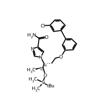 C[C@H](O[Si](C)(C)C(C)(C)C)[C@@H](CCOc1cccc(-c2cccc(Cl)c2)c1)n1cnc(C(N)=O)c1